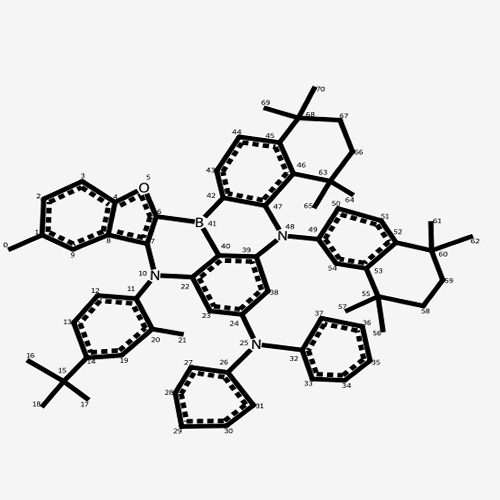 Cc1ccc2oc3c(c2c1)N(c1ccc(C(C)(C)C)cc1C)c1cc(N(c2ccccc2)c2ccccc2)cc2c1B3c1ccc3c(c1N2c1ccc2c(c1)C(C)(C)CCC2(C)C)C(C)(C)CCC3(C)C